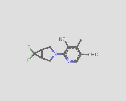 Cc1c(C=O)cnc(N2CC3C(C2)C3(F)F)c1C#N